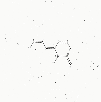 C\C=C/C=C(\C=C/C)N(C)N=O